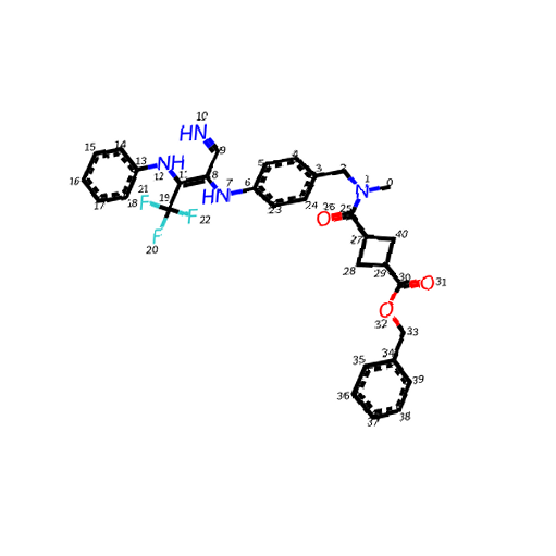 CN(Cc1ccc(N/C(C=N)=C(/Nc2ccccc2)C(F)(F)F)cc1)C(=O)C1CC(C(=O)OCc2ccccc2)C1